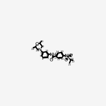 CC1CN(c2cccc(NC(=O)c3ccc(NS(=O)(=O)C(C)C)cc3)c2)CC(C)O1